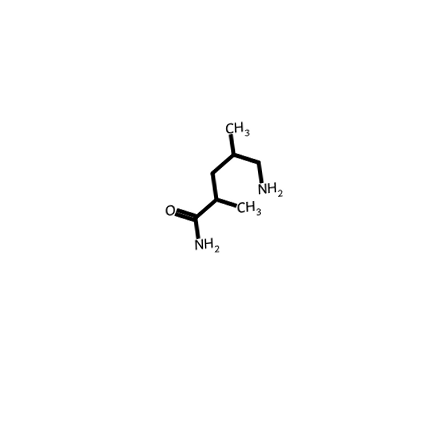 CC(CN)CC(C)C(N)=O